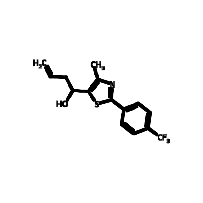 C=CCC(O)c1sc(-c2ccc(C(F)(F)F)cc2)nc1C